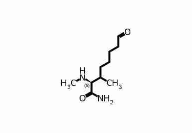 CN[C@H](C(N)=O)C(C)CCCCC=O